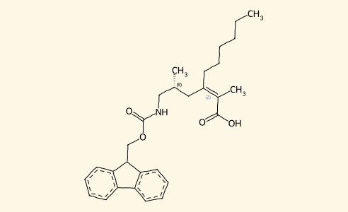 CCCCCC/C(C[C@@H](C)CNC(=O)OCC1c2ccccc2-c2ccccc21)=C(\C)C(=O)O